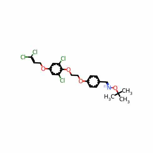 CC(C)(C)O/N=C/c1ccc(OCCOc2c(Cl)cc(OCC=C(Cl)Cl)cc2Cl)cc1